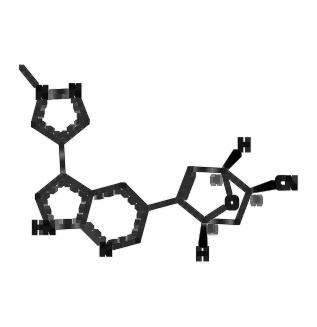 Cn1cc(-c2c[nH]c3ncc(C4=C[C@H]5O[C@@H]4C[C@@H]5C#N)cc23)cn1